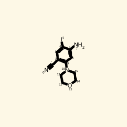 N#Cc1cc(I)c(N)cc1N1CCOCC1